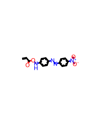 C=CC(=O)ONc1ccc(/N=N/c2ccc([N+](=O)[O-])cc2)cc1